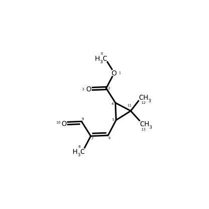 COC(=O)C1C(/C=C(/C)C=O)C1(C)C